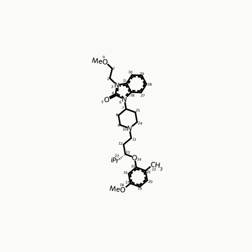 COCCn1c(=O)n(C2CCN(CC[C@H](Oc3cc(OC)ccc3C)C(C)C)CC2)c2ccccc21